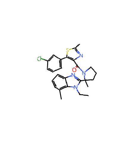 CCn1c(C2(C)CCCN2C(=O)c2nc(C)sc2-c2cccc(Cl)c2)nc2cccc(C)c21